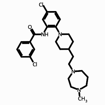 CN1CCCN(CCC2CCN(c3ccc(Cl)cc3NC(=O)c3cccc(Cl)c3)CC2)CC1